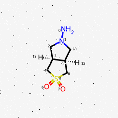 NN1C[C@@H]2CS(=O)(=O)C[C@@H]2C1